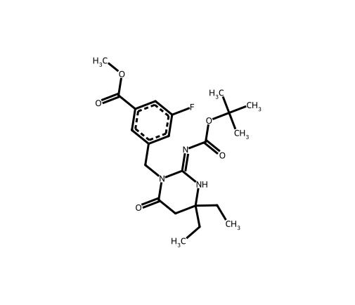 CCC1(CC)CC(=O)N(Cc2cc(F)cc(C(=O)OC)c2)C(=NC(=O)OC(C)(C)C)N1